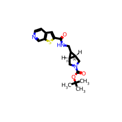 CC(C)(C)OC(=O)N1C[C@@H]2C(CNC(=O)c3cc4ccncc4s3)[C@@H]2C1